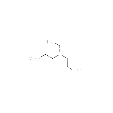 COCCN(C[C]=O)CCOC